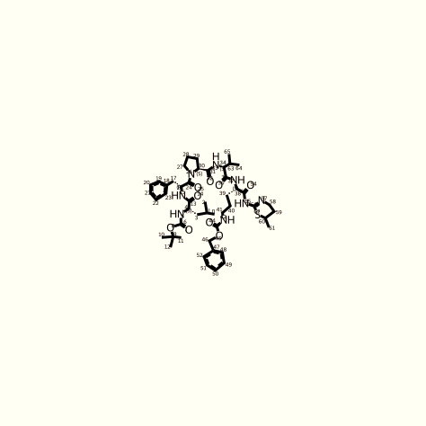 CC(C)C[C@H](NC(=O)OC(C)(C)C)C(=O)N[C@H](Cc1ccccc1)C(=O)N1CCC[C@H]1C(=O)N[C@H](C(=O)N[C@@H](CCCNC(=O)OCc1ccccc1)C(=O)NC1=NCCC(C)S1)C(C)C